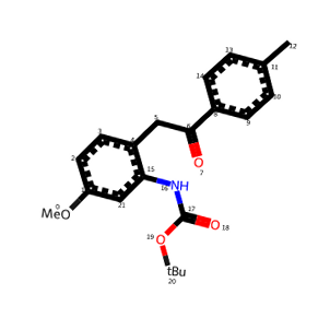 COc1ccc(CC(=O)c2ccc(C)cc2)c(NC(=O)OC(C)(C)C)c1